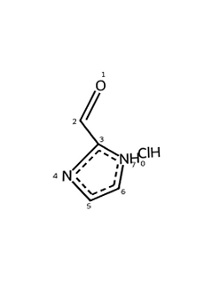 Cl.O=Cc1ncc[nH]1